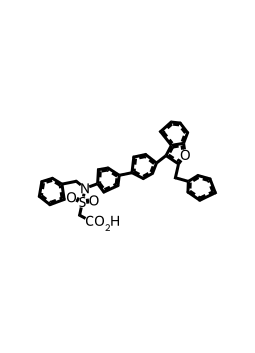 O=C(O)CS(=O)(=O)N(Cc1ccccc1)c1ccc(-c2ccc(-c3c(Cc4ccccc4)oc4ccccc34)cc2)cc1